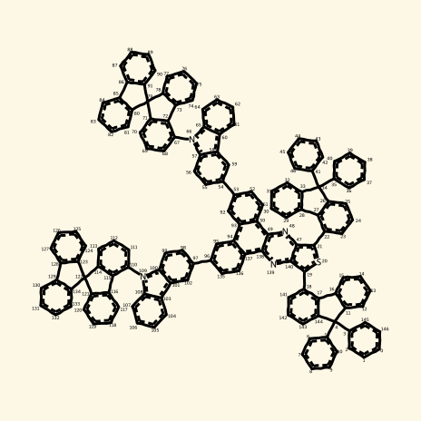 c1ccc(C2(c3ccccc3)c3ccccc3-c3c(-c4sc(-c5cccc6c5-c5ccccc5C6(c5ccccc5)c5ccccc5)c5nc6c7ccc(-c8ccc9c(c8)c8ccccc8n9-c8cccc9c8-c8ccccc8C98c9ccccc9-c9ccccc98)cc7c7cc(-c8ccc9c(c8)c8ccccc8n9-c8cccc9c8-c8ccccc8C98c9ccccc9-c9ccccc98)ccc7c6nc45)cccc32)cc1